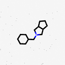 C1CCC(CN2CC3CCCC3C2)CC1